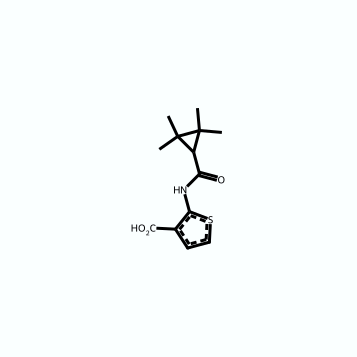 CC1(C)C(C(=O)Nc2sccc2C(=O)O)C1(C)C